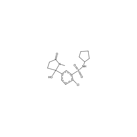 CN1C(=O)CCC1(O)c1ccc(Cl)c(S(=O)(=O)NC2CCCC2)c1